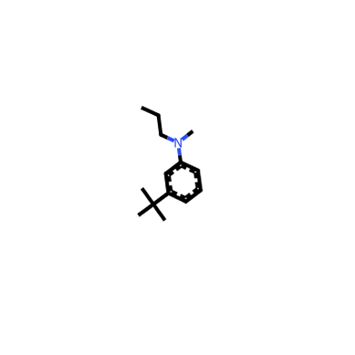 CCCN(C)c1cccc(C(C)(C)C)c1